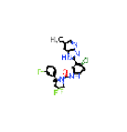 Cc1cnc2nc(-c3cc(NC(=O)N4CC(F)(F)C[C@@H]4c4cccc(F)c4)ccc3Cl)[nH]c2c1